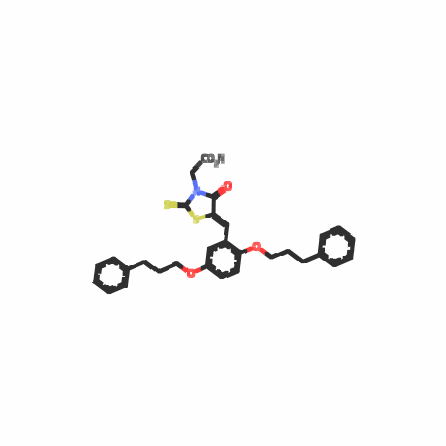 O=C(O)CN1C(=O)/C(=C/c2cc(OCCCc3ccccc3)ccc2OCCCc2ccccc2)SC1=S